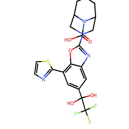 O=C(O)N1C2CCCC1CN(c1nc3cc(C(O)(O)C(F)(F)F)cc(-c4nccs4)c3o1)C2